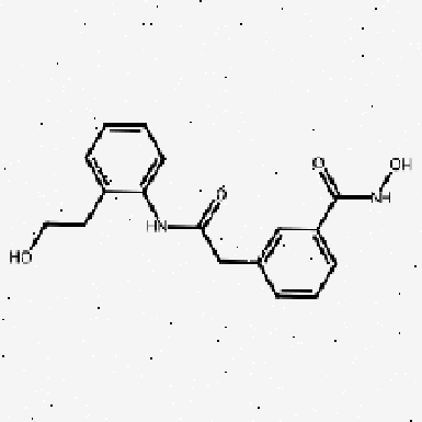 O=C(Cc1cccc(C(=O)NO)c1)Nc1ccccc1CCO